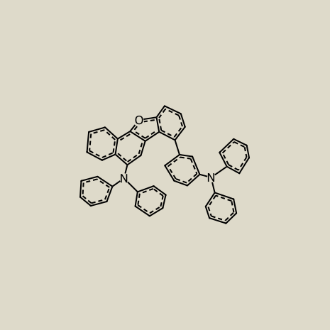 c1ccc(N(c2ccccc2)c2cccc(-c3cccc4oc5c6ccccc6c(N(c6ccccc6)c6ccccc6)cc5c34)c2)cc1